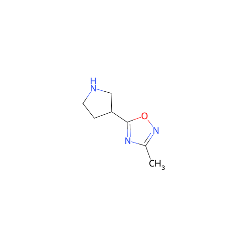 Cc1noc(C2CCNC2)n1